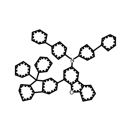 c1ccc(-c2ccc(N(c3ccc(-c4ccccc4)cc3)c3cc(-c4ccc5c(c4)C(c4ccccc4)(c4ccccc4)c4ccccc4-5)c4oc5ccccc5c4c3)cc2)cc1